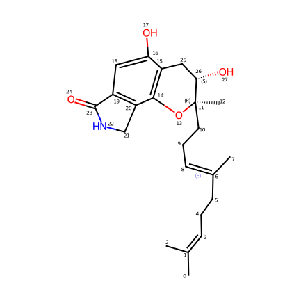 CC(C)=CCC/C(C)=C/CC[C@@]1(C)Oc2c(c(O)cc3c2CNC3=O)C[C@@H]1O